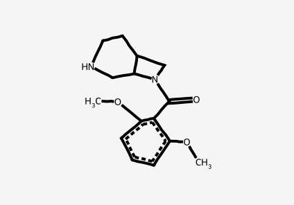 COc1cccc(OC)c1C(=O)N1CC2CCNCC21